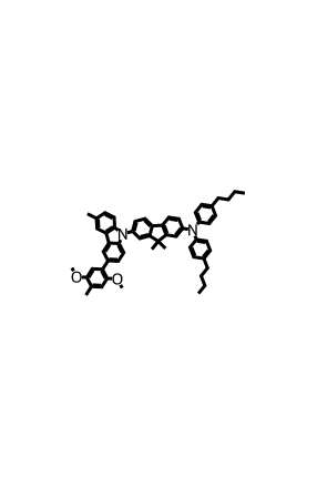 CCCCc1ccc(N(c2ccc(CCCC)cc2)c2ccc3c(c2)C(C)(C)c2cc(-n4c5ccc(C)cc5c5cc(-c6cc(OC)c(C)cc6OC)ccc54)ccc2-3)cc1